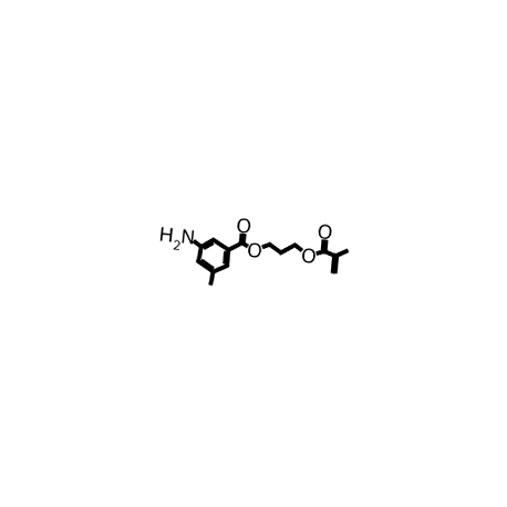 C=C(C)C(=O)OCCCOC(=O)c1cc(C)cc(N)c1